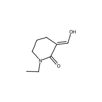 CCN1CCC/C(=C\O)C1=O